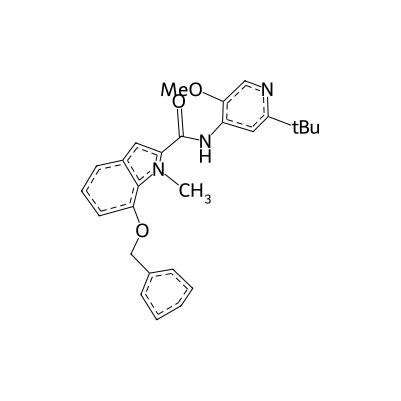 COc1cnc(C(C)(C)C)cc1NC(=O)c1cc2cccc(OCc3ccccc3)c2n1C